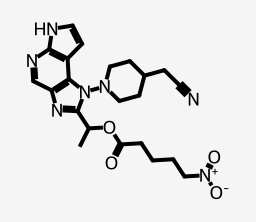 CC(OC(=O)CCCC[N+](=O)[O-])c1nc2cnc3[nH]ccc3c2n1N1CCC(CC#N)CC1